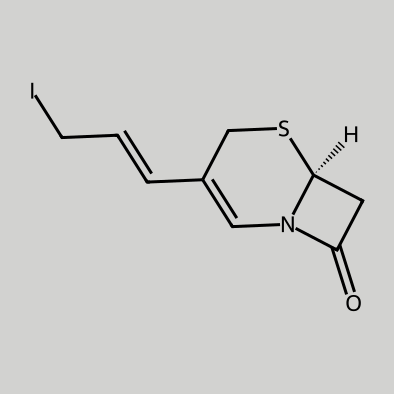 O=C1C[C@@H]2SCC(C=CCI)=CN12